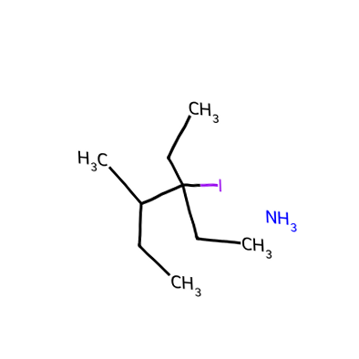 CCC(C)C(I)(CC)CC.N